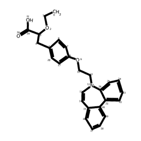 CCOC(Cc1ccc(OCCN2C=Cc3ccccc3-c3ccccc32)cc1)C(=O)O